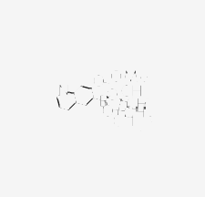 COCOc1cc2ncccc2cc1B1OC(C)(C)C(C)(C)O1